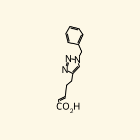 O=C(O)C=CCCc1cn(Cc2ccccc2)nn1